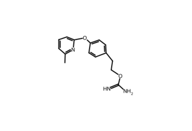 Cc1cccc(Oc2ccc(CCOC(=N)N)cc2)n1